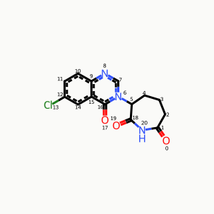 O=C1CCCC(n2cnc3ccc(Cl)cc3c2=O)C(=O)N1